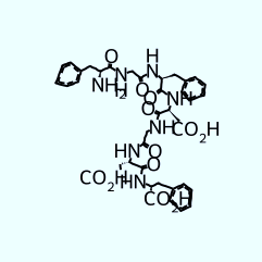 N[C@@H](Cc1ccccc1)C(=O)NCC(=O)N[C@@H](Cc1ccccc1)C(=O)N[C@@H](CC(=O)O)C(=O)NCC(=O)N[C@@H](CC(=O)O)C(=O)N[C@@H](Cc1ccccc1)C(=O)O